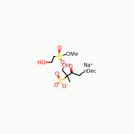 CCCCCCCCCCCC(=O)C(C)(CO)S(=O)(=O)[O-].COS(=O)(=O)CCO.[Na+]